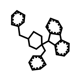 c1ccc(CC2CCC(Cc3ccccc3)(C3c4ccccc4-c4ccccc43)CC2)cc1